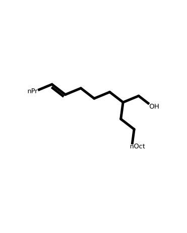 CCC/C=C/CCCC(CO)CCCCCCCCCC